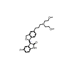 COCCN(CCCc1ccc2c(c1)CO/C2=C1/C(=O)Nc2ccc(F)cc21)CCOC